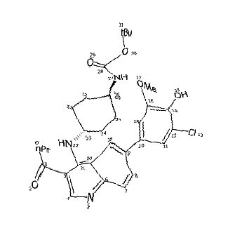 CCCC(=O)c1cnc2ccc(-c3cc(Cl)c(O)c(OC)c3)cc2c1N[C@H]1CC[C@H](NC(=O)OC(C)(C)C)CC1